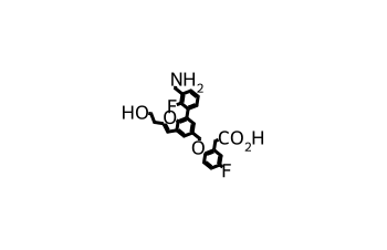 NCc1cccc(-c2cc(COc3ccc(F)cc3CC(=O)O)cc3cc(CCO)oc23)c1F